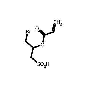 C=CC(=O)OC(CBr)CS(=O)(=O)O